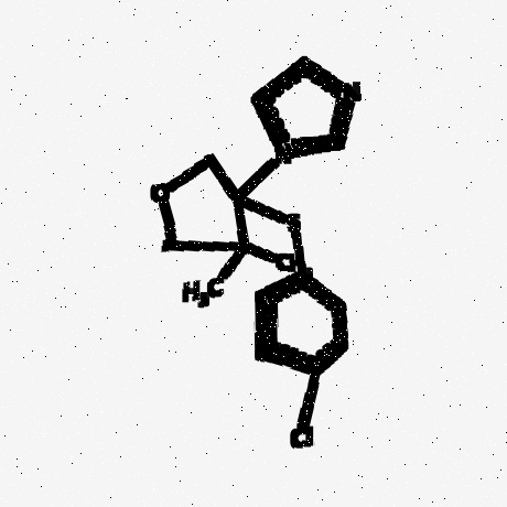 CC1(C)[C]OCC1(Sc1ccc(Cl)cc1)n1ccnc1